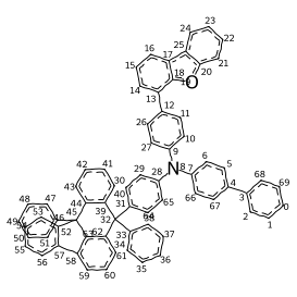 c1ccc(-c2ccc(N(c3ccc(-c4cccc5c4oc4ccccc45)cc3)c3ccc(C4(c5ccccc5)c5ccccc5C5(c6ccccc6)c6ccccc6-c6cccc4c65)cc3)cc2)cc1